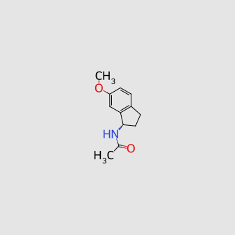 COc1ccc2c(c1)[C@H](NC(C)=O)CC2